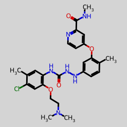 CNC(=O)c1cc(Oc2cc(NNC(=O)Nc3cc(C)c(Cl)cc3OCCN(C)C)ccc2C)ccn1